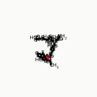 CCCC1O[C@@H]2C[C@H]3[C@@H]4C[C@H](F)C5=CC(=O)C=C[C@]5(C)[C@@]4(F)[C@@H](O)C[C@]3(C)[C@]2(C(=O)CNC(=O)OCc2ccc(NC(=O)[C@H](CCCNC(N)=O)NC(=O)[C@@H](NC(=O)[C@H](N)CCC(=O)NCCS(=O)(=O)O)C(C)C)cc2)O1